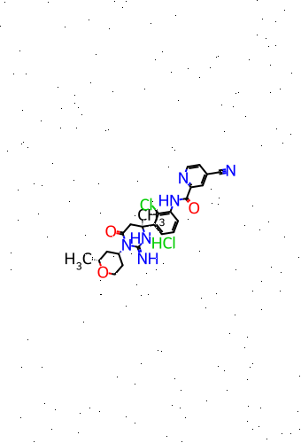 C[C@@H]1C[C@H](N2C(=N)N[C@](C)(c3cccc(NC(=O)c4cc(C#N)ccn4)c3Cl)CC2=O)CCO1.Cl